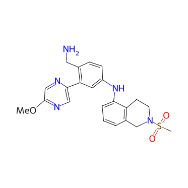 COc1cnc(-c2cc(Nc3cccc4c3CCN(S(C)(=O)=O)C4)ccc2CN)cn1